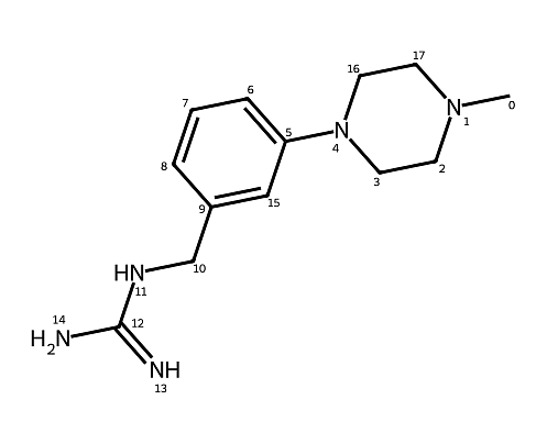 CN1CCN(c2cccc(CNC(=N)N)c2)CC1